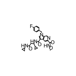 CONC(=O)c1cc2c(C(=O)NC(CC(=O)NC3CC3)C3CC3)cn(Cc3ccc(F)cc3)c2cn1